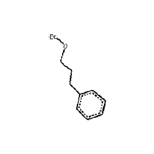 C[CH]OCCCc1ccccc1